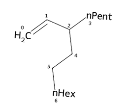 C=CC(CCCCC)CCCCCCCC